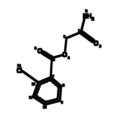 NC(=O)COC(=O)c1ccccc1Cl